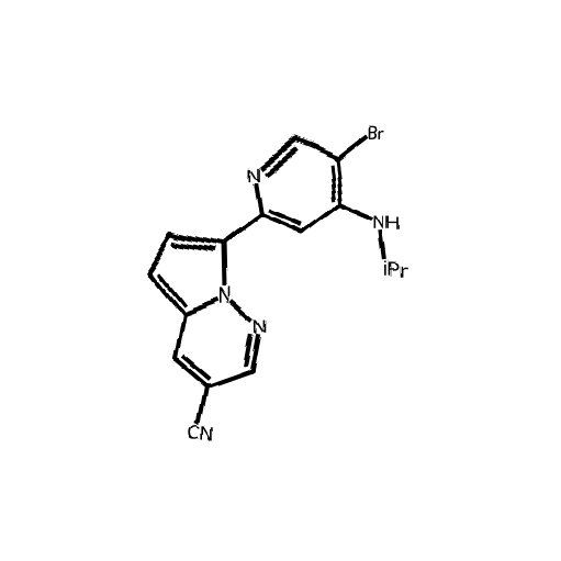 CC(C)Nc1cc(-c2ccc3cc(C#N)cnn23)ncc1Br